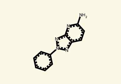 Nc1ccc2nn(-c3ccccc3)nc2n1